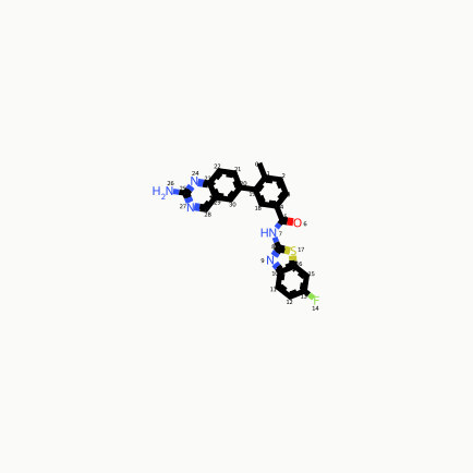 Cc1ccc(C(=O)Nc2nc3ccc(F)cc3s2)cc1-c1ccc2nc(N)ncc2c1